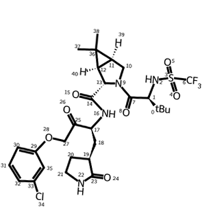 CC(C)(C)[C@H](NS(=O)(=O)C(F)(F)F)C(=O)N1C[C@H]2[C@@H]([C@H]1C(=O)N[C@@H](C[C@@H]1CCNC1=O)C(=O)COc1cccc(Cl)c1)C2(C)C